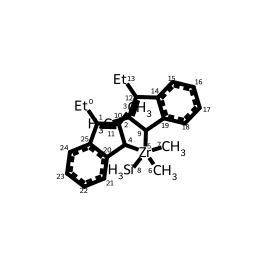 CCC1=C(C)[CH]([Zr]([CH3])([CH3])([SiH3])[CH]2C(C)=C(CC)c3ccccc32)c2ccccc21